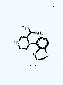 CC(N)C1CNCCN1c1cccc2c1OCCO2